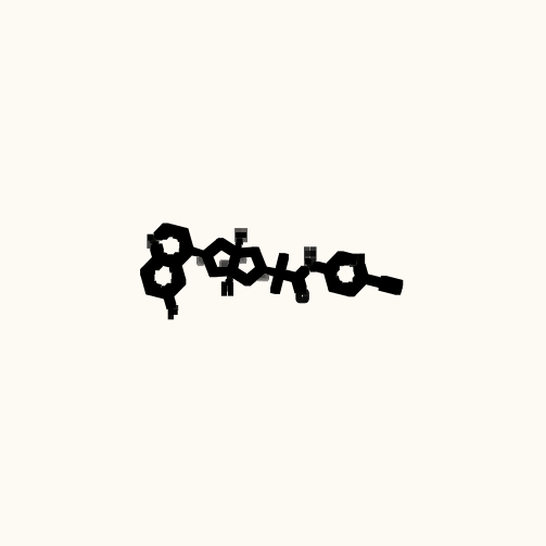 C#Cc1ccc(NC(=O)C(C)(C)[C@H]2C[C@H]3C[C@@H](c4ccnc5ccc(F)cc45)C[C@H]3C2)cn1